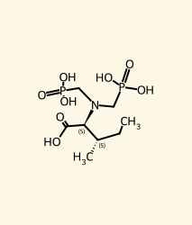 CC[C@H](C)[C@@H](C(=O)O)N(CP(=O)(O)O)CP(=O)(O)O